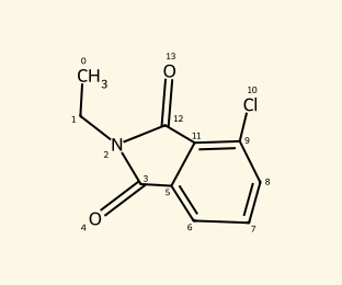 CCN1C(=O)c2cccc(Cl)c2C1=O